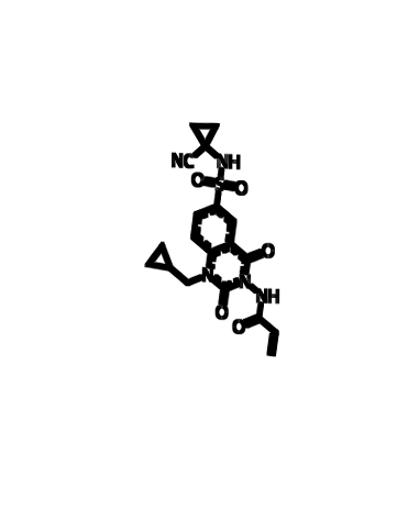 C=CC(=O)Nn1c(=O)c2cc(S(=O)(=O)NC3(C#N)CC3)ccc2n(CC2CC2)c1=O